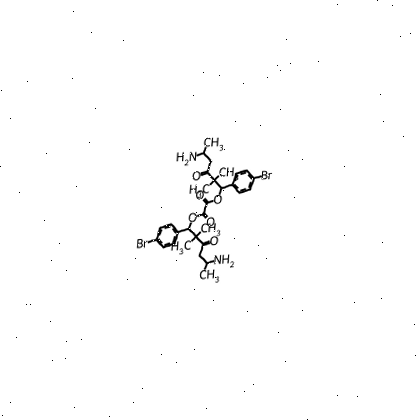 CC(N)CC(=O)C(C)(C)C(OC(=O)C(=O)OC(c1ccc(Br)cc1)C(C)(C)C(=O)CC(C)N)c1ccc(Br)cc1